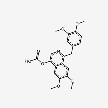 COc1ccc(Cc2ncc(OC(=O)O)c3cc(OC)c(OC)cc23)cc1OC